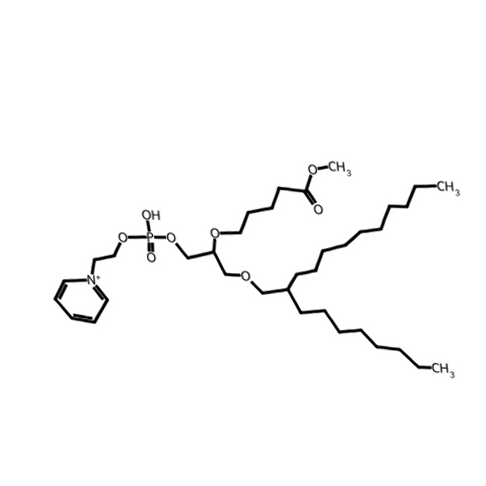 CCCCCCCCCCC(CCCCCCCC)COCC(COP(=O)(O)OCC[n+]1ccccc1)OCCCCC(=O)OC